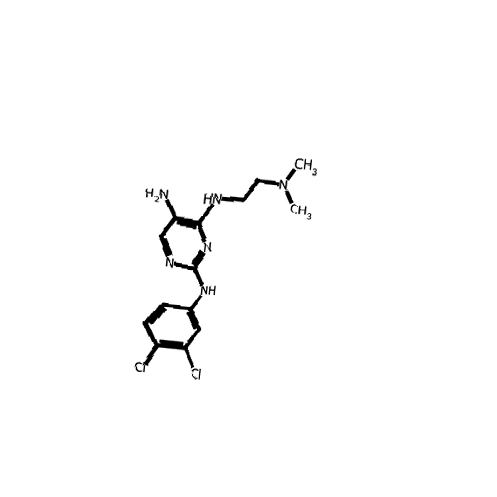 CN(C)CCNc1nc(Nc2ccc(Cl)c(Cl)c2)ncc1N